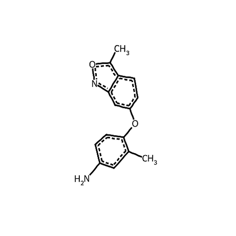 Cc1cc(N)ccc1Oc1ccc2c(C)onc2c1